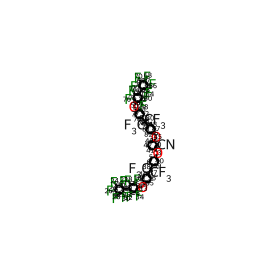 N#Cc1c(Oc2ccc(C(c3ccc(Oc4c(F)c(F)c(-c5c(F)c(F)c(F)c(F)c5F)c(F)c4F)cc3)(C(F)(F)F)C(F)(F)F)cc2)cccc1Oc1ccc(C(c2ccc(Oc3c(F)c(F)c(-c4c(F)c(F)c(F)c(F)c4F)c(F)c3F)cc2)(C(F)(F)F)C(F)(F)F)cc1